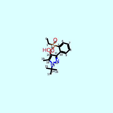 CCS(=O)(=O)c1ccccc1-c1nn(C(C)(C)C)c(C)c1O